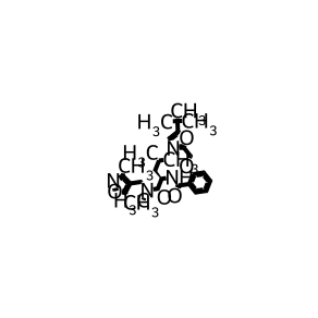 Cc1noc(C)c1CN(C)C(=O)[C@@H](CC(C)C)NC(=O)c1ccccc1OCc1ncc(C(C)(C)C)o1